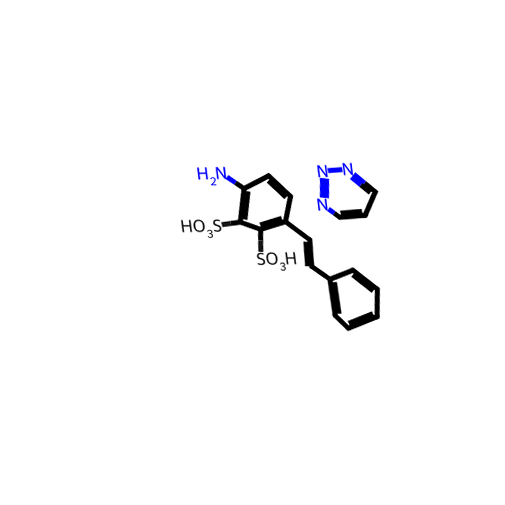 Nc1ccc(C=Cc2ccccc2)c(S(=O)(=O)O)c1S(=O)(=O)O.c1cnnnc1